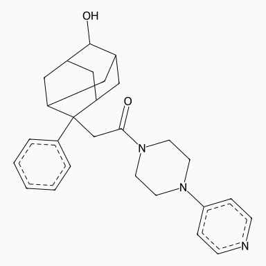 O=C(CC1(c2ccccc2)C2CC3CC1CC(C2)C3O)N1CCN(c2ccncc2)CC1